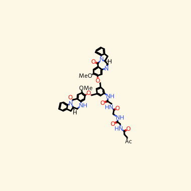 COc1cc2c(cc1OCc1cc(COc3cc4c(cc3OC)C(=O)N3c5ccccc5C[C@H]3CN4)cc(NC(=O)CNC(=O)CNC(=O)CNC(=O)CCC(C)=O)c1)N=C[C@@H]1Cc3ccccc3N1C2=O